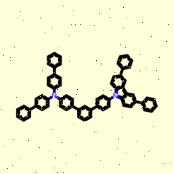 c1ccc(-c2ccc(N(c3ccc(-c4ccccc4)cc3)c3ccc(-c4cccc(-c5ccc(-n6c7ccc(-c8ccccc8)cc7c7cc(-c8ccccc8)ccc76)cc5)c4)cc3)cc2)cc1